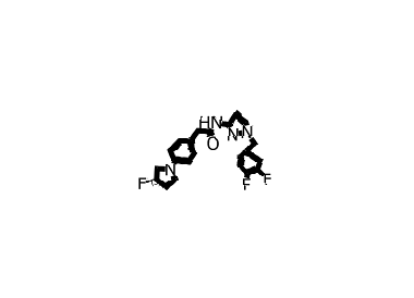 O=C(Cc1ccc(N2CC[C@H](F)C2)cc1)Nc1ccn(Cc2ccc(F)c(F)c2)n1